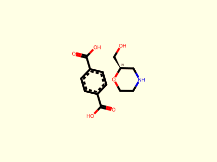 O=C(O)c1ccc(C(=O)O)cc1.OC[C@H]1CNCCO1